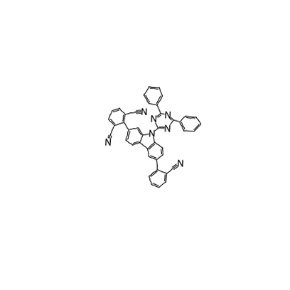 N#Cc1ccccc1-c1ccc2c(c1)c1ccc(-c3c(C#N)cccc3C#N)cc1n2-c1nc(-c2ccccc2)nc(-c2ccccc2)n1